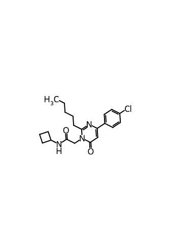 CCCCCc1nc(-c2ccc(Cl)cc2)cc(=O)n1CC(=O)NC1CCC1